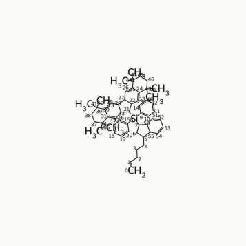 C=CCCCC1CC([Si](c2ccccc2)(c2ccccc2)C2C3C=C4C(=CC3C3C=C5C(=CC32)C(C)(C)CCC5(C)C)C(C)(C)CCC4(C)C)C2C=CC=CC12